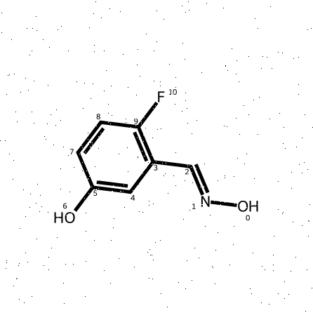 ON=Cc1cc(O)ccc1F